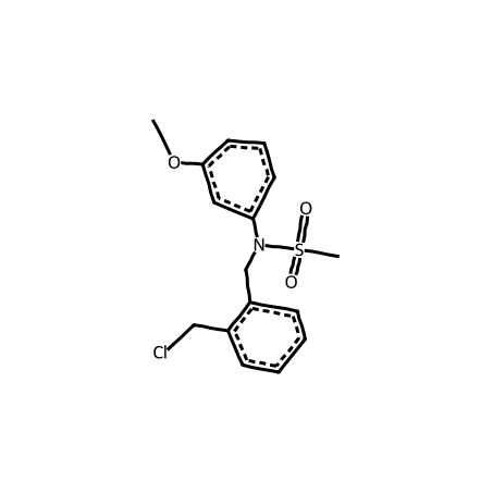 COc1cccc(N(Cc2ccccc2CCl)S(C)(=O)=O)c1